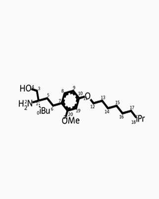 CCC(C)[C@](N)(CO)CCc1ccc(OCCCCCCC(C)C)cc1OC